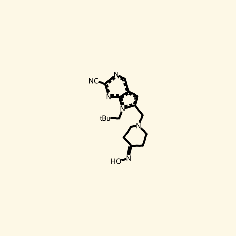 CC(C)(C)Cn1c(CN2CCC(=NO)CC2)cc2cnc(C#N)nc21